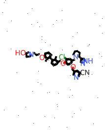 Cc1c(COc2cc(OCc3cncc(C#N)c3)c(CN3CCCCC3c3cn[nH]c3)cc2Cl)cccc1-c1cccc(OCCCN2CC[C@@H](O)C2)c1C